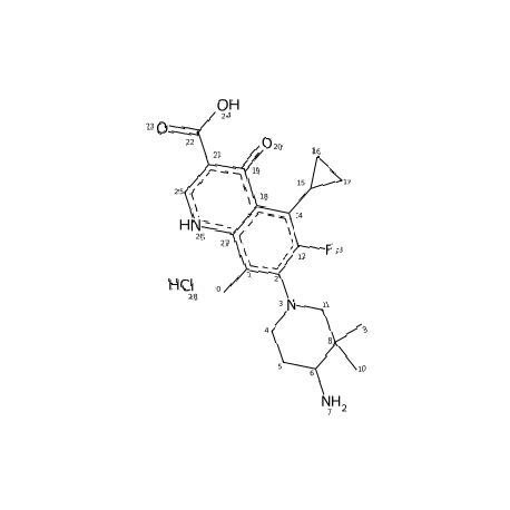 Cc1c(N2CCC(N)C(C)(C)C2)c(F)c(C2CC2)c2c(=O)c(C(=O)O)c[nH]c12.Cl